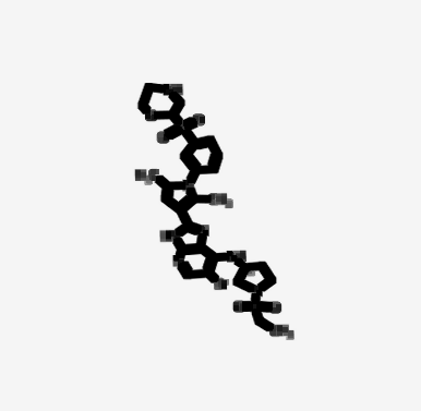 CCS(=O)(=O)N1CC[C@H](Nc2c(Br)cnc3[nH]c(-c4cc(C)n(-c5cccc(S(=O)(=O)C6CNCCO6)c5)c4C)nc23)C1